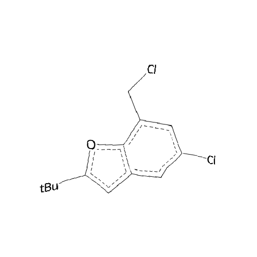 CC(C)(C)c1cc2cc(Cl)cc(CCl)c2o1